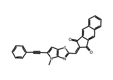 Cn1c(C#Cc2ccccc2)cc2sc(C=C3C(=O)c4cc5ccccc5cc4C3=O)nc21